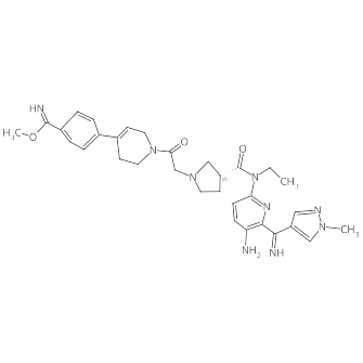 CCN(C(=O)[C@@H]1CCN(CC(=O)N2CC=C(c3ccc(C(=N)OC)cc3)CC2)C1)c1ccc(N)c(C(=N)c2cnn(C)c2)n1